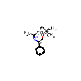 CCOC(=O)/C(=N\[C@@H](CO[Si](C)(C)C(C)C)c1ccccc1)C(F)(F)F